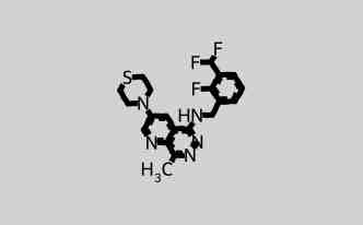 Cc1nnc(NCc2cccc(C(F)F)c2F)c2cc(N3CCSCC3)cnc12